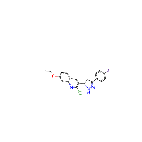 CCOc1ccc2cc(C3CC(c4ccc(I)cc4)=NN3)c(Cl)nc2c1